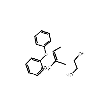 CC=C(C)C(=O)O.OCCO.c1ccc(Oc2ccccc2)cc1